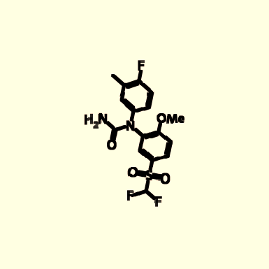 COc1ccc(S(=O)(=O)C(F)F)cc1N(C(N)=O)c1ccc(F)c(C)c1